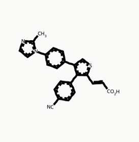 Cc1nccn1-c1ccc(-c2csc(/C=C/C(=O)O)c2-c2ccc(C#N)cc2)cc1